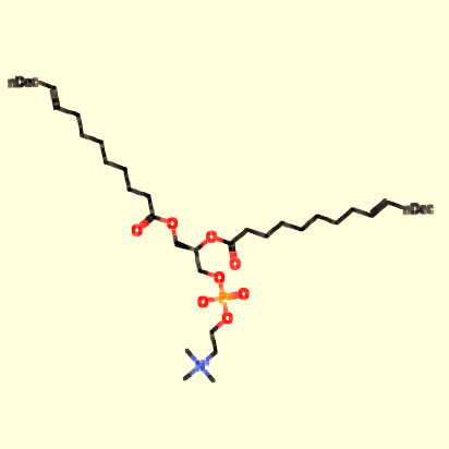 CCCCCCCCCC/C=C/CCCCCCCC(=O)OC[C@H](COP(=O)([O-])OCC[N+](C)(C)C)OC(=O)CCCCCCC/C=C/CCCCCCCCCC